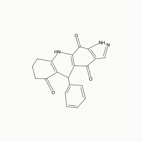 O=C1CCCC2=C1C(c1ccccc1)C1=C(N2)C(=O)c2[nH]ncc2C1=O